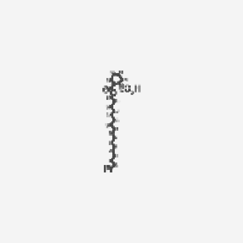 CC(C)CCCCCCCCCCCCCCCCOC(=O)C1CCCCC1C(=O)O